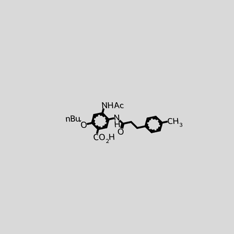 CCCCOc1cc(NC(C)=O)c(NC(=O)CCc2ccc(C)cc2)cc1C(=O)O